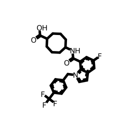 O=C(NC1CCCC(C(=O)O)CCC1)c1cc(F)cc2ccn(Cc3ccc(C(F)(F)F)cc3)c12